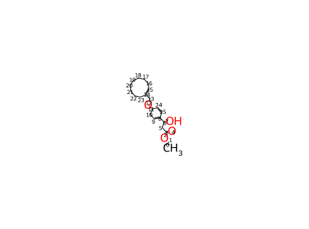 CCOC(=O)CC(O)C1=CC[C@@H](OC/C2=C/CCCCCCCC2)C=C1